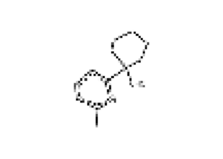 Cc1cccc(C2(C=O)CCCCC2)n1